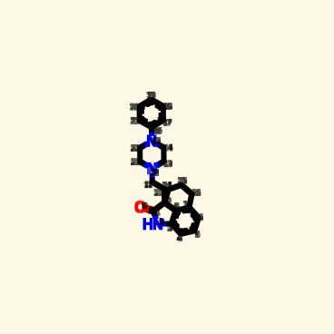 O=C1Nc2cccc3c2C1(CCN1CCN(c2ccccc2)CC1)CCC3